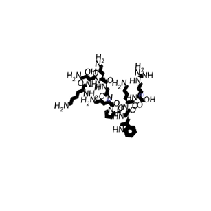 N=C(N)NCC/C=C(\NC(=O)[C@H](CCCCN)NC(=O)[C@H](Cc1c[nH]c2ccccc12)NC(=O)[C@@H]1CCCN1C(=O)/C(CCCN)=N/C(=O)CNC(=O)[C@H](CCCN)NC(=O)[C@@H](NC(=O)[C@@H](N)CCCCN)[C@@H](O)CN)C(=O)O